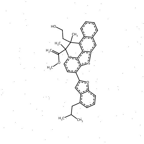 C=C(OC)C1(C)[n+]2ccc(-c3cc4c(CC(C)C)cccc4o3)c3sc4cc5ccccc5c(c4c32)C1(C)CCO